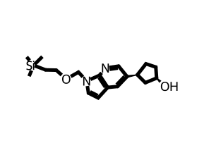 C[Si](C)(C)CCOCn1ccc2cc([C@H]3CC[C@@H](O)C3)cnc21